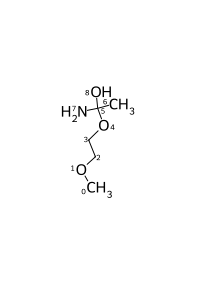 COCCOC(C)(N)O